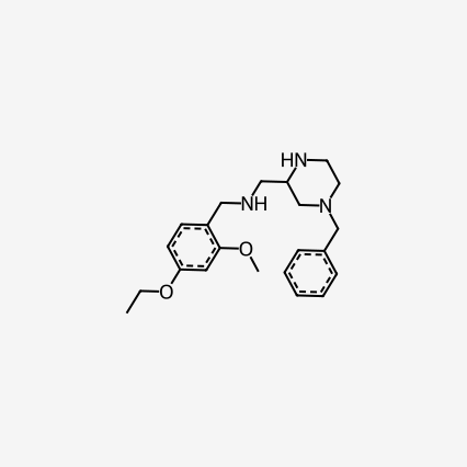 CCOc1ccc(CNCC2CN(Cc3ccccc3)CCN2)c(OC)c1